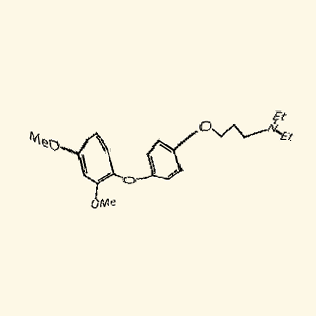 CCN(CC)CCCOc1ccc(Oc2[c]cc(OC)cc2OC)cc1